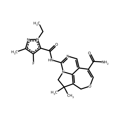 CCn1nc(C)c(F)c1C(=O)NC1=NC=C2C(C(N)=O)=COCC3=C2N1CC3(C)C